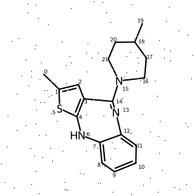 Cc1cc2c(s1)Nc1ccccc1N=C2N1CCC(C)CC1